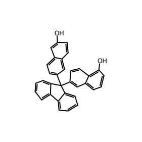 Oc1ccc2cc(C3(c4ccc5c(O)cccc5c4)c4ccccc4-c4ccccc43)ccc2c1